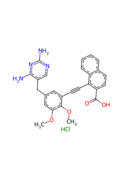 COc1cc(Cc2cnc(N)nc2N)cc(C#Cc2c(C(=O)O)ccc3ccccc23)c1OC.Cl